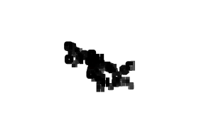 CC1(C)CCC(CN2CCN(c3ccc(C(=O)NS(=O)(=O)c4ccc(NCC5CCOCC5)c([N+](=O)[O-])c4)c(N4c5cc6cc[nH]c6nc5OCC[C@H]4C(F)(F)F)c3)CC2)=C(c2ccc(Cl)cc2)C1